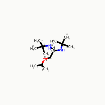 CC(C)OC[SiH](NC(C)(C)C)NC(C)(C)C